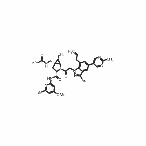 C=CCc1cc(-c2cnc(C)nc2)cc2c(C(C)=O)nn(CC(=O)N3C4[C@H](C)[C@]4(CNC(=O)CCC)C[C@H]3C(=O)Nc3cc(OC)cc(Br)n3)c12